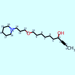 CC#CC(O)CCCCCCOCCCN1CCCCC1